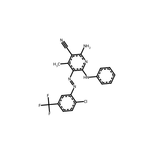 Cc1c(C#N)c(N)nc(Nc2ccccc2)c1/N=N/c1cc(C(F)(F)F)ccc1Cl